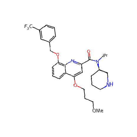 COCCCOc1cc(C(=O)N(C(C)C)[C@@H]2CCCNC2)nc2c(OCc3cccc(C(F)(F)F)c3)cccc12